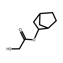 O=C(CS)OC1CC2CCC1C2